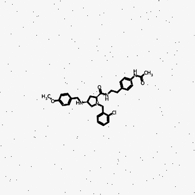 COc1ccc(CN[C@H]2C[C@@H](C(=O)NCCc3ccc(NC(C)=O)cc3)N(Cc3ccccc3Cl)C2)cc1